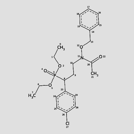 CCOP(=O)(OCC)C(CCN(OCc1ccccc1)C(C)=O)c1ccc(Cl)cc1